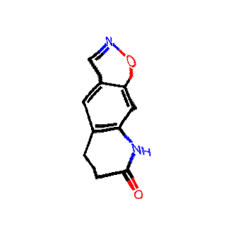 O=C1CCc2cc3cnoc3cc2N1